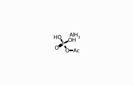 CC(=O)OP(=O)(O)O.[AlH3]